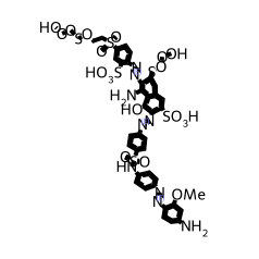 COc1cc(N)ccc1/N=N/c1ccc(NS(=O)(=O)c2ccc(/N=N/c3c(S(=O)(=O)O)cc4cc(SOOO)c(/N=N/c5ccc(S(=O)(=O)CCOSOOO)cc5S(=O)(=O)O)c(N)c4c3O)cc2)cc1